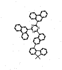 CC1(C)c2ccccc2-c2c(-c3ccc4c(-c5nc(-c6cc7ccccc7c7ccccc67)nc(-c6cc7ccccc7c7ccccc67)n5)cccc4c3)cccc21